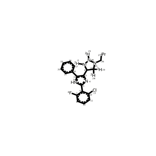 [2H]N1C(c2nc(-c3c(F)cccc3Cl)[nH]c2-c2ccccc2)C([2H])([2H])N(CC(C)C)N1[2H]